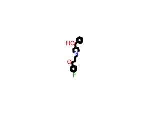 O=C(CCCN1CCC(C(O)c2ccccc2)CC1)c1ccc(F)cc1